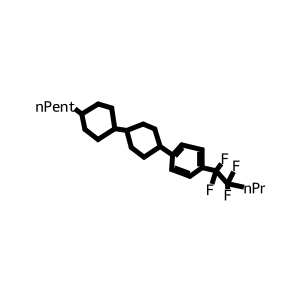 CCCCCC1CCC(C2CCC(c3ccc(C(F)(F)C(F)(F)CCC)cc3)CC2)CC1